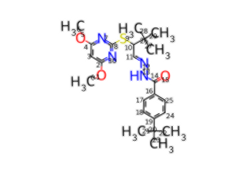 COc1cc(OC)nc(SC(C=NNC(=O)c2ccc(C(C)(C)C)cc2)C(C)(C)C)n1